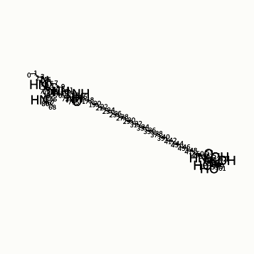 CCCCN(CC(CCCCCCNC(=O)CCCCCCCCCCCCCCCCCCCCCCCCCCCCCCCCCCCNC(=O)[C@H](O)[C@@H](O)[C@H](O)[C@@H](C)O)CN(CCCC)NCCCNC)NCCCNC